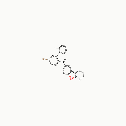 C=C(c1ccc2oc3ccccc3c2c1)c1ccc(Br)cc1-c1ccccc1C